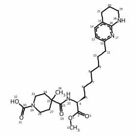 COC(=O)[C@H](CCCCCCCc1ccc2c(n1)NCCC2)NC(=O)C1(C)CCN(C(=O)O)CC1